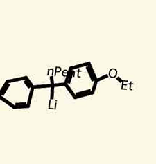 [Li][C](CCCCC)(c1ccccc1)c1ccc(OCC)cc1